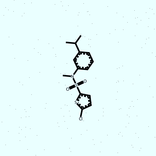 CC(C)c1cccc(N(C)S(=O)(=O)c2ccc(Cl)s2)c1